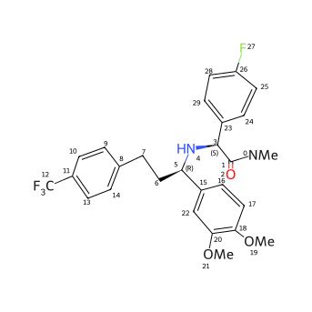 CNC(=O)[C@@H](N[C@H](CCc1ccc(C(F)(F)F)cc1)c1ccc(OC)c(OC)c1)c1ccc(F)cc1